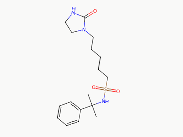 CC(C)(NS(=O)(=O)CCCCCN1CCNC1=O)c1ccccc1